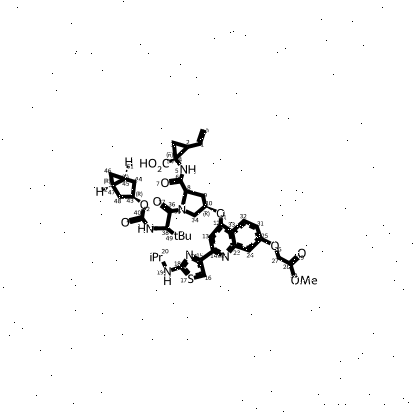 C=CC1C[C@]1(NC(=O)C1C[C@@H](Oc2cc(-c3csc(NC(C)C)n3)nc3cc(OCC(=O)OC)ccc23)CN1C(=O)C(NC(=O)O[C@@H]1C[C@@H]2C[C@@H]2C1)C(C)(C)C)C(=O)O